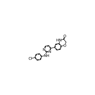 O=C1COc2ccc(-c3ccnc(Nc4ccc(Cl)cc4)n3)cc2N1